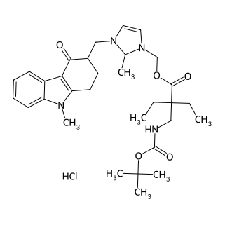 CCC(CC)(CNC(=O)OC(C)(C)C)C(=O)OCN1C=CN(CC2CCc3c(c4ccccc4n3C)C2=O)C1C.Cl